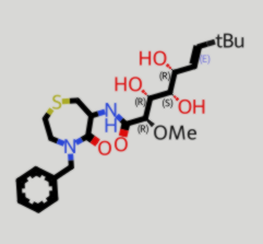 CO[C@@H](C(=O)NC1CSCCN(Cc2ccccc2)C1=O)[C@H](O)[C@@H](O)[C@H](O)/C=C/C(C)(C)C